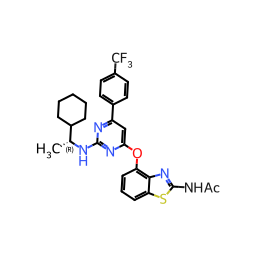 CC(=O)Nc1nc2c(Oc3cc(-c4ccc(C(F)(F)F)cc4)nc(N[C@H](C)C4CCCCC4)n3)cccc2s1